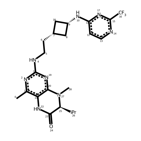 Cc1nc(NCC[C@H]2C[C@@H](Nc3ccnc(C(F)(F)F)n3)C2)nc2c1NC(=O)[C@H](C(C)C)N2C